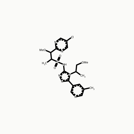 COCC(C)n1c(NS(=O)(=O)C(C)C(OC)c2ncc(Cl)cn2)nnc1-c1cncc(C)c1